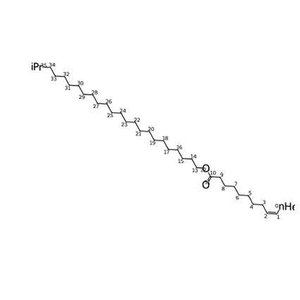 CCCCCC/C=C\CCCCCCCC(=O)OCCCCCCCCCCCCCCCCCCCCCCC(C)C